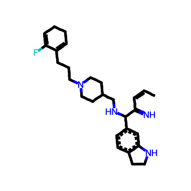 C/C=C\C(=N)C(NCC1CCN(CCCC2=CCCC=C2F)CC1)c1ccc2c(c1)NCC2